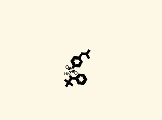 CC(C)Cc1ccc(S(=O)(=O)NC(c2ccccc2)C(C)(C)C)cc1